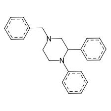 c1ccc(CN2CCN(c3ccccc3)C(c3ccccc3)C2)cc1